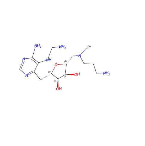 CC(C)N(CCCN)C[C@H]1O[C@@H](Cc2ncnc(N)c2NCN)[C@H](O)[C@@H]1O